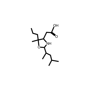 CCCC1(C)OC(C(C)CC(C)C)NC1CC(=O)O